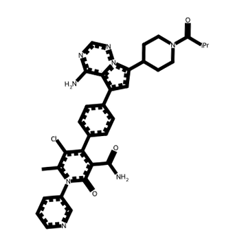 Cc1c(Cl)c(-c2ccc(-c3cc(C4CCN(C(=O)C(C)C)CC4)n4ncnc(N)c34)cc2)c(C(N)=O)c(=O)n1-c1cccnc1